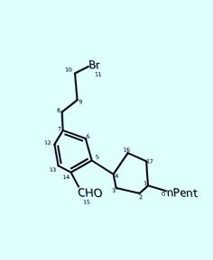 CCCCCC1CCC(c2cc(CCCBr)ccc2C=O)CC1